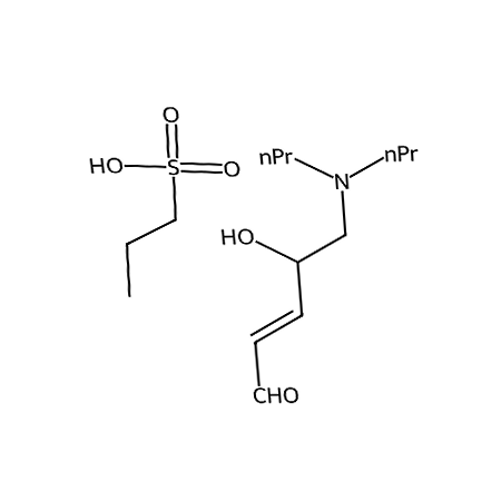 CCCN(CCC)CC(O)C=CC=O.CCCS(=O)(=O)O